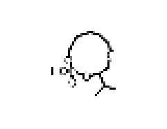 CC(C)C1CCCCCCCOP(=O)(O)O1